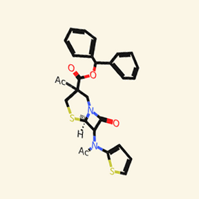 CC(=O)N(c1cccs1)C1C(=O)N2CC(C(C)=O)(C(=O)OC(c3ccccc3)c3ccccc3)CS[C@H]12